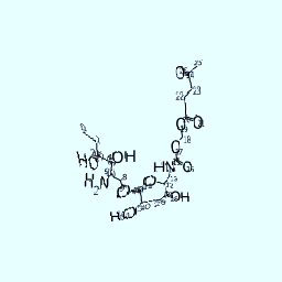 CC[C@@H](O)[C@@H](O)[C@@H](N)CO[C@H]1OC(CNC(=O)OCOC(=O)CCC(C)=O)[C@H](O)CC1O